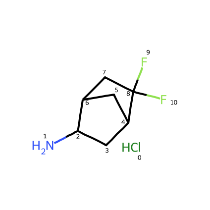 Cl.NC1CC2CC1CC2(F)F